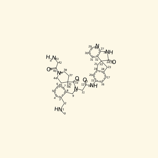 CNCc1ccccc1CN(CC(=O)Nc1ccc2c(c1)CC1(C2)C(=O)Nc2ncccc21)C(=O)C1(C)CCN(C(=O)CN)CC1